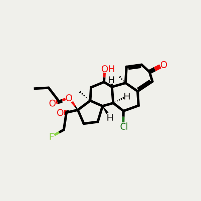 CCC(=O)O[C@]1(C(=O)CF)CC[C@H]2[C@@H]3C(Cl)CC4=CC(=O)C=C[C@]4(C)[C@H]3C(O)C[C@@]21C